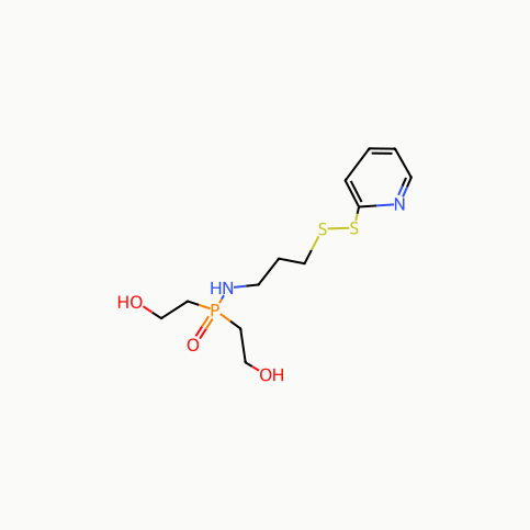 O=P(CCO)(CCO)NCCCSSc1ccccn1